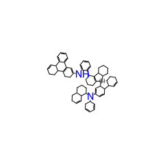 C1=CCC(N(C2=CC3C(C=C2)C2C=CCCC2[C@@]32C3=C(C(c4ccccc4NC4=CC5=C(CC4)C4CCC=CC4c4ccccc45)CCC3)C3CCCCC32)C2CCCC3CCC=CC32)C=C1